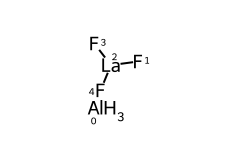 [AlH3].[F][La]([F])[F]